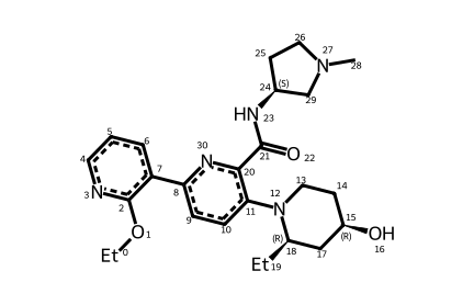 CCOc1ncccc1-c1ccc(N2CC[C@@H](O)C[C@H]2CC)c(C(=O)N[C@H]2CCN(C)C2)n1